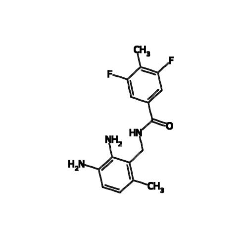 Cc1ccc(N)c(N)c1CNC(=O)c1cc(F)c(C)c(F)c1